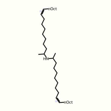 CCCCCCCC/C=C\CCCCCCCC(C)NC(C)CCCCCCC/C=C\CCCCCCCC